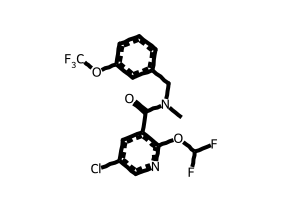 CN(Cc1cccc(OC(F)(F)F)c1)C(=O)c1cc(Cl)cnc1OC(F)F